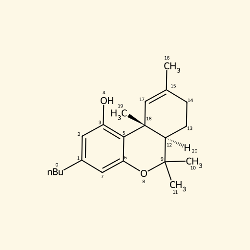 CCCCc1cc(O)c2c(c1)OC(C)(C)[C@@H]1CCC(C)=C[C@@]21C